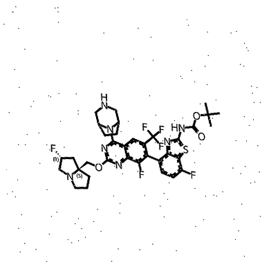 CC(C)(C)OC(=O)Nc1nc2c(-c3c(C(F)(F)F)cc4c(N5C6CCC5CNC6)nc(OC[C@@]56CCCN5C[C@H](F)C6)nc4c3F)ccc(F)c2s1